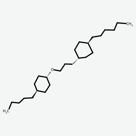 CCCCCC[C@H]1CC[C@H](CCCO[C@H]2CC[C@H](CCCCC)CC2)CC1